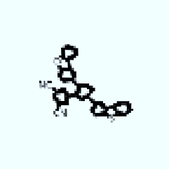 N#Cc1cc(C#N)cc(-c2cc(-c3ccc4sc5ccccc5c4c3)ccc2-c2ccc3oc4ccccc4c3c2)c1